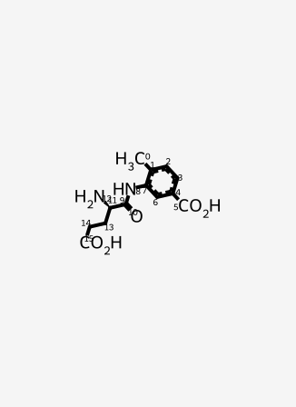 Cc1ccc(C(=O)O)cc1NC(=O)[C@H](N)CCC(=O)O